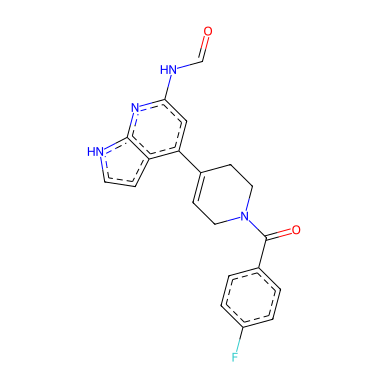 O=CNc1cc(C2=CCN(C(=O)c3ccc(F)cc3)CC2)c2cc[nH]c2n1